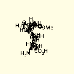 COc1ccc(C(=O)N[C@@H](C)C(=O)N[C@@H](CCC(N)=O)C(=O)N[C@H](C(=O)NCC(=O)N[C@H](C(=O)NCC(=O)N[C@@H](CCCCN)C(=O)N[C@H](C(=O)O)[C@@H](C)O)[C@@H](C)O)[C@@H](C)O)cc1